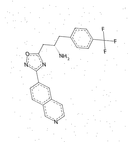 N[C@@H](Cc1ccc(C(F)(F)F)cc1)Cc1nc(-c2ccc3cnccc3c2)no1